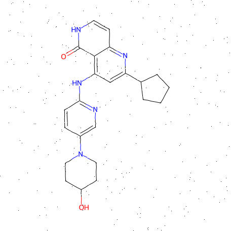 O=c1[nH]ccc2nc(C3CCCC3)cc(Nc3ccc(N4CCC(O)CC4)cn3)c12